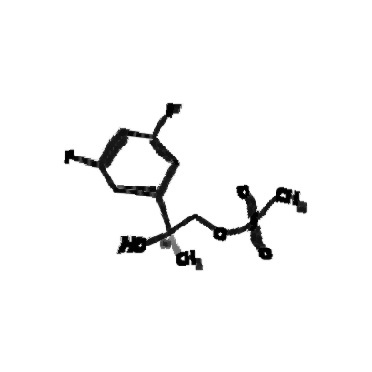 C[C@@](O)(COS(C)(=O)=O)c1cc(F)cc(F)c1